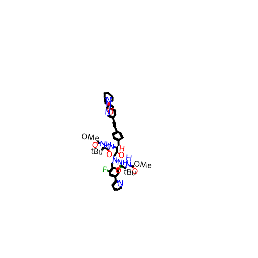 COC(=O)NC(C(=O)N[C@@H](Cc1ccc(C#Cc2ccc(N3CC4CCC(C3)N4C3COC3)nc2)cc1)[C@@H](O)CN(Cc1c(F)cc(-c2ccccn2)cc1F)NC(=O)[C@@H](NC(=O)OC)C(C)(C)C)C(C)(C)C